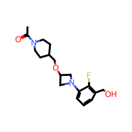 CC(=O)N1CCC(COC2CN(c3cccc(CO)c3F)C2)CC1